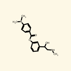 CNCC(O)c1cccc(OC(=O)c2ccc(N(C)C)cc2)c1